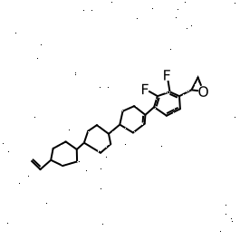 C=CC1CCC(C2CCC(C3CC=C(c4ccc(C5CO5)c(F)c4F)CC3)CC2)CC1